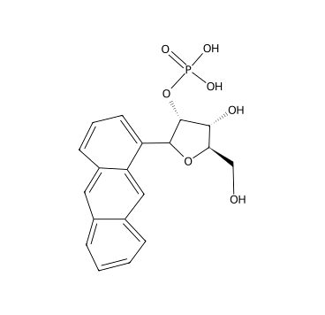 O=P(O)(O)O[C@H]1C(c2cccc3cc4ccccc4cc23)O[C@H](CO)[C@H]1O